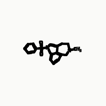 CN1CCc2cn(S(=O)(=O)c3ccccc3)c3cccc(c23)C1